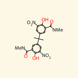 CNC(=O)c1cc(C(C)(C)c2cc(C(=O)NC)c(O)c([N+](=O)[O-])c2)cc([N+](=O)[O-])c1O